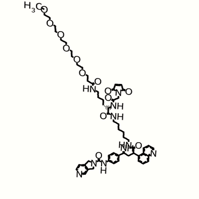 COCCOCCOCCOCCOCCOCCC(=O)NCCCC[C@H](NC(=O)CN1C(=O)C=CC1=O)C(=O)NCCCCCCNC(=O)C(CC(=N)c1ccc(NC(=O)N2Cc3ccncc3C2)cc1)c1cccc2ncccc12